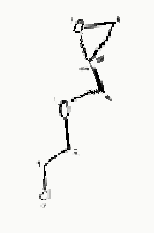 ClCCOC[C@@H]1CO1